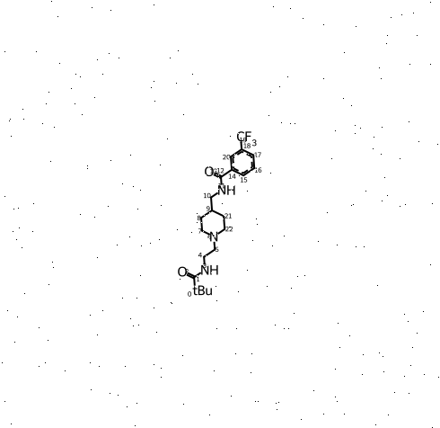 CC(C)(C)C(=O)NCCN1CCC(CNC(=O)c2cccc(C(F)(F)F)c2)CC1